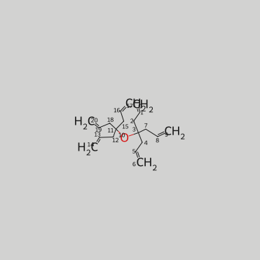 C=CCC(CC=C)(CC=C)OC(CC=C)(CC=C)CC=C